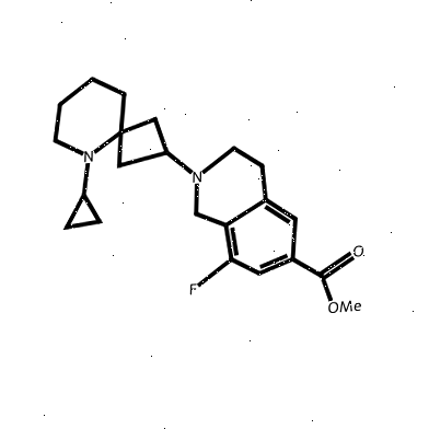 COC(=O)c1cc(F)c2c(c1)CCN(C1CC3(CCCCN3C3CC3)C1)C2